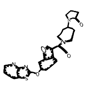 O=C(c1coc2cc(Oc3nc4ncccc4s3)ccc12)N1CCC(N2CCCC2=O)CC1